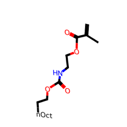 C=C(C)C(=O)OCCNC(=O)OCCCCCCCCCC